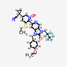 CCSc1cc(C2(C#N)CC2)c[n+]([O-])c1-c1cc2c(cn1)n(CC(F)(F)C(F)(F)F)c(=O)n2Cc1ccc(OC)cc1